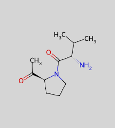 CC(=O)[C@@H]1CCCN1C(=O)[C@@H](N)C(C)C